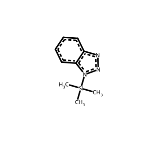 C[Si](C)(C)n1nnc2ccccc21